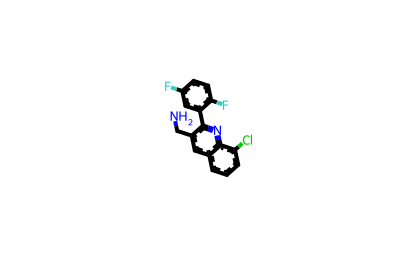 NCc1cc2cccc(Cl)c2nc1-c1cc(F)ccc1F